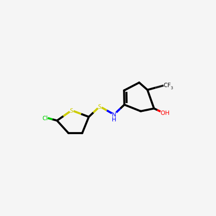 OC1CC(NSC2CCC(Cl)S2)=CCC1C(F)(F)F